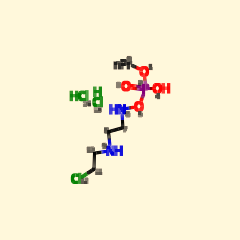 CCCOP(=O)(O)ONCCNCCCl.Cl.Cl